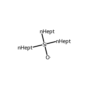 CCCCCCC[Si]([O])(CCCCCCC)CCCCCCC